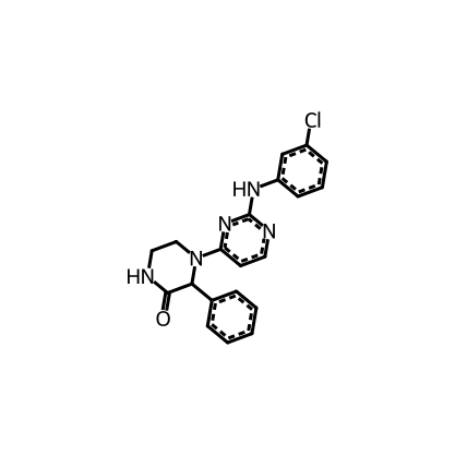 O=C1NCCN(c2ccnc(Nc3cccc(Cl)c3)n2)C1c1ccccc1